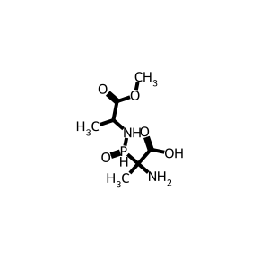 COC(=O)C(C)N[PH](=O)C(C)(N)C(=O)O